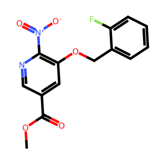 COC(=O)c1cnc([N+](=O)[O-])c(OCc2ccccc2F)c1